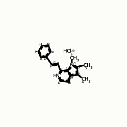 Cc1c(C)n(C)c2c(/C=C/c3ccccc3)nccc12.Cl